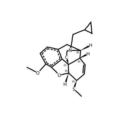 COc1ccc2c3c1O[C@H]1[C@H](SC)C=C[C@H]4[C@@H](C2)N(CC2CC2)CC[C@@]341